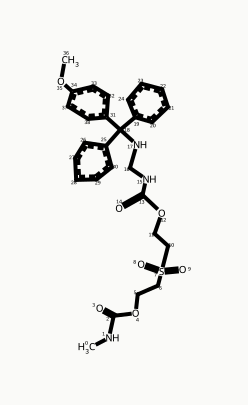 CNC(=O)OCCS(=O)(=O)CCOC(=O)NCNC(c1ccccc1)(c1ccccc1)c1ccc(OC)cc1